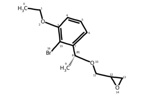 CCOc1cccc([C@@H](C)OCC2CO2)c1Br